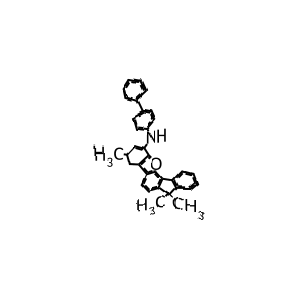 CC1C=C(Nc2ccc(-c3ccccc3)cc2)c2oc3c4c(ccc3c2C1)C(C)(C)c1ccccc1-4